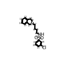 O=S(=O)(NCCCCN1CCc2ccccc2C1)c1cccc(Cl)c1